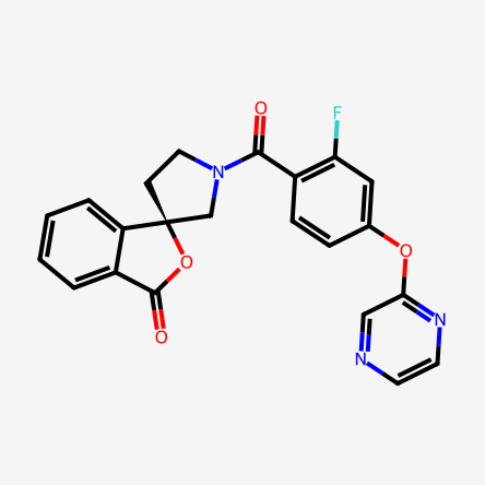 O=C1O[C@]2(CCN(C(=O)c3ccc(Oc4cnccn4)cc3F)C2)c2ccccc21